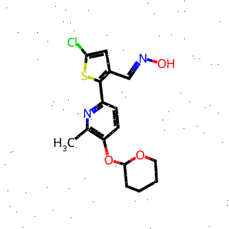 Cc1nc(-c2sc(Cl)cc2C=NO)ccc1OC1CCCCO1